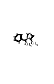 Cc1cncn1C(C)c1ccccc1